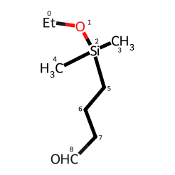 CCO[Si](C)(C)CCCC=O